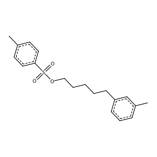 Cc1ccc(S(=O)(=O)OCCCCCc2cccc(C)c2)cc1